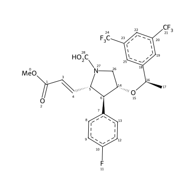 COC(=O)C=C[C@H]1[C@H](c2ccc(F)cc2)[C@@H](O[C@H](C)c2cc(C(F)(F)F)cc(C(F)(F)F)c2)CN1C(=O)O